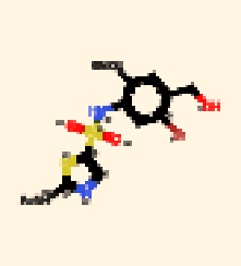 COc1cc(CO)c(Br)cc1NS(=O)(=O)c1cnc(NC(C)=O)s1